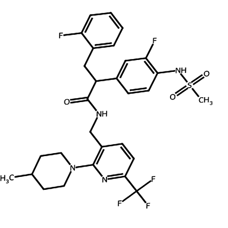 CC1CCN(c2nc(C(F)(F)F)ccc2CNC(=O)C(Cc2ccccc2F)c2ccc(NS(C)(=O)=O)c(F)c2)CC1